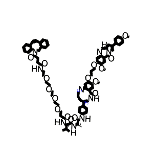 COc1ccc(C2=CN3C(=O)c4cc(OC)c(OCCCOc5cc6c(cc5OC)C(=O)N/C=C(/c5ccc(NC(=O)[C@H](C)NC(=O)[C@@H](NC(=O)CCOCCOCCOCCOCCNC(=O)CCC(=O)N7Cc8ccccc8C#Cc8ccccc87)C(C)C)cc5)CC/C=N\6)cc4N=C[C@@H]3C2)cc1